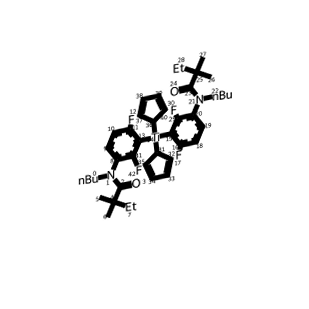 CCCCN(C(=O)C(C)(C)CC)c1ccc(F)[c]([Ti]([c]2c(F)ccc(N(CCCC)C(=O)C(C)(C)CC)c2F)([CH]2C=CC=C2)[CH]2C=CC=C2)c1F